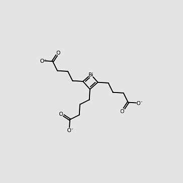 O=C([O-])CCC[C]1=[Bi][C](CCCC(=O)[O-])=C1CCCC(=O)[O-]